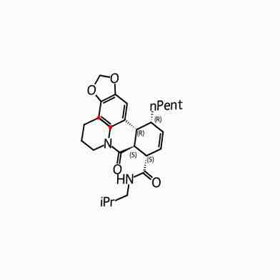 CCCCC[C@@H]1C=C[C@H](C(=O)NCC(C)C)[C@@H](C(=O)N2CCCCC2)[C@@H]1c1ccc2c(c1)OCO2